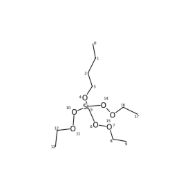 CCCCO[Si](OOCC)(OOCC)OOCC